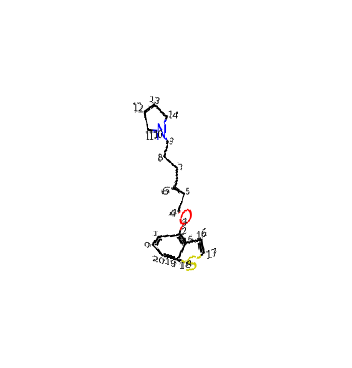 c1cc(OCCCCCCN2CCCC2)c2ccsc2c1